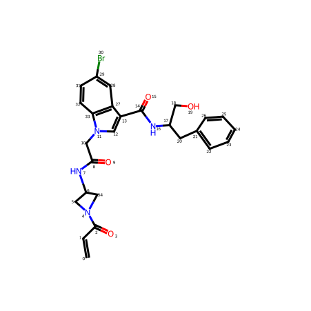 C=CC(=O)N1CC(NC(=O)Cn2cc(C(=O)NC(CO)Cc3ccccc3)c3cc(Br)ccc32)C1